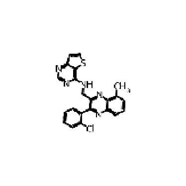 Cc1cccc2nc(-c3ccccc3Cl)c(CNc3ncnc4ccsc34)nc12